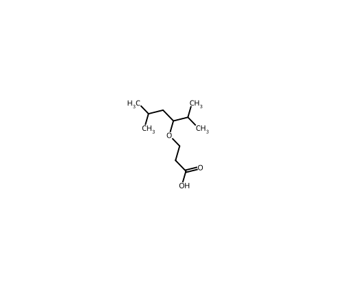 CC(C)CC(OCCC(=O)O)C(C)C